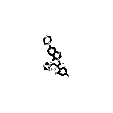 C[C@@H](n1cnc2cc(N3CCOCC3)ccc2c1=O)[C@](O)(Cn1cncn1)c1ccc(F)cc1F